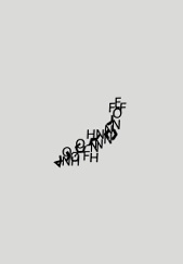 CC1(NC(=O)O[C@H]2CO[C@@H](c3cc(Nc4nccc5nc(COC(F)(F)F)cn45)n[nH]3)[C@@H]2F)CC1